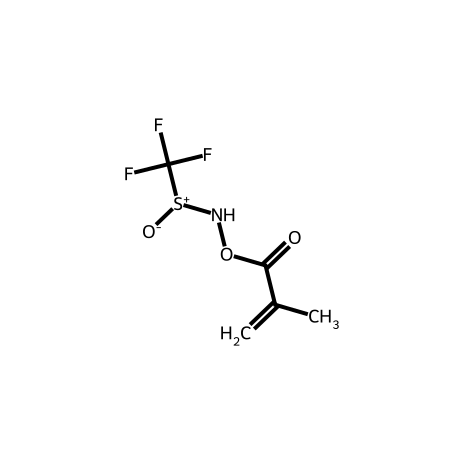 C=C(C)C(=O)ON[S+]([O-])C(F)(F)F